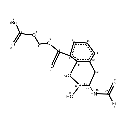 CCCCC(=O)OCOC(=O)c1cccc2c1OB(O)[C@@H](NC(=O)CC)C2